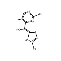 CCC1=CSC(=C(C#N)c2nc(Cl)ncc2C)N1